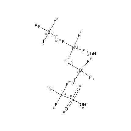 F[B-](F)(F)F.F[B-](F)(F)F.F[B-](F)(F)F.O=S(=O)(O)C(F)(F)F.[LiH]